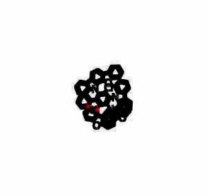 N#Cc1c(-c2ccccc2)c(-n2c3ccccc3c3ccc4c5ccccc5oc4c32)c(C#N)c(-n2c3ccccc3c3ccc4oc5ccccc5c4c32)c1-n1c2ccccc2c2ccc3oc4ccccc4c3c21